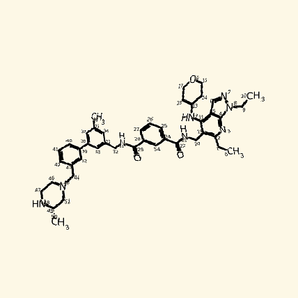 CCc1nc2c(cnn2CC)c(NC2CCOCC2)c1CNC(=O)c1cccc(C(=O)NCc2cc(C)cc(-c3cccc(CN4CCN[C@@H](C)C4)c3)c2)c1